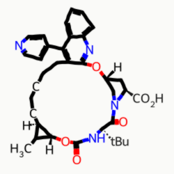 CC1[C@H]2CCCCCc3c(nc4ccccc4c3-c3ccncc3)O[C@@H]3C[C@@H](C(=O)O)N(C3)C(=O)[C@H](C(C)(C)C)NC(=O)O[C@H]12